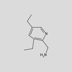 CCc1cnc(CN)c(CC)c1